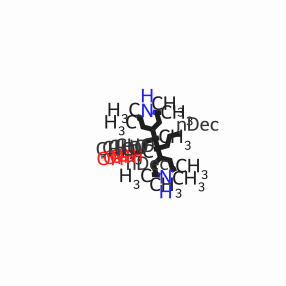 CCCCCCCCCCCCCC(C)(C1CC(C)(C)NC(C)(C)C1)C(C)(CCCCCCCCCCCCC)C1CC(C)(C)NC(C)(C)C1.O=CO.O=CO.O=CO.O=CO